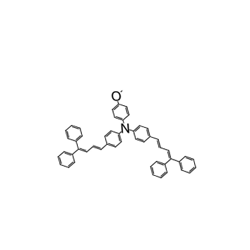 COc1ccc(N(c2ccc(C=CC=C(c3ccccc3)c3ccccc3)cc2)c2ccc(C=CC=C(c3ccccc3)c3ccccc3)cc2)cc1